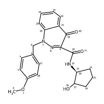 COc1ccc(Cn2nc(C(=O)N[C@H]3CCCC3O)c(=O)c3ccccc32)cc1